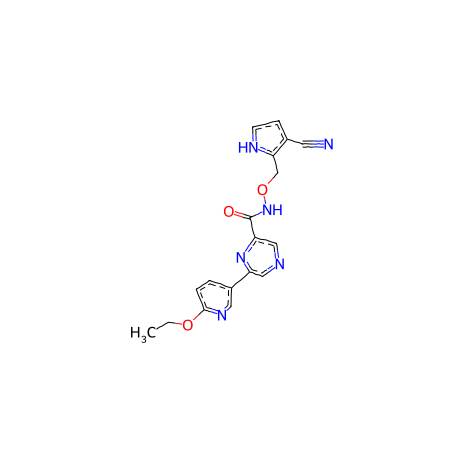 CCOc1ccc(-c2cncc(C(=O)NOCc3[nH]ccc3C#N)n2)cn1